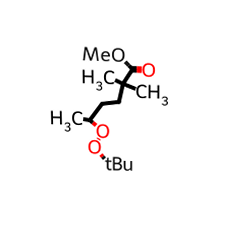 COC(=O)C(C)(C)CCC(C)OOC(C)(C)C